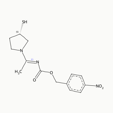 C/C(=N\C(=O)OCc1ccc([N+](=O)[O-])cc1)N1CC[C@H](S)C1